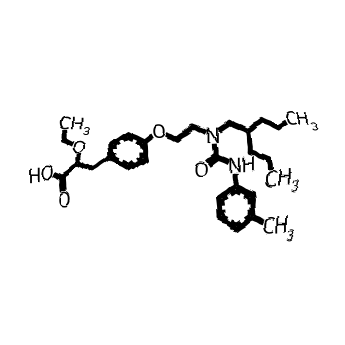 CCCC(CCC)CN(CCOc1ccc(CC(OCC)C(=O)O)cc1)C(=O)Nc1cccc(C)c1